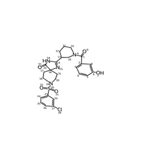 O=C(c1cccc(O)c1)N1CCCC(C2=NC3(CCN(S(=O)(=O)c4cccc(Cl)c4)CC3)C(=O)N2)C1